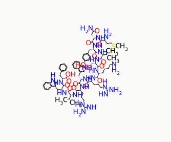 CSCC[C@H](N)C(=O)N[C@@H](CC(N)=O)C(=O)N[C@@H](Cc1ccc(O)cc1)C(=O)N[C@H](C(=O)N[C@@H](CO)C(=O)N[C@@H](CCCCN)C(=O)N[C@@H](CCCNC(=N)N)C(=O)N[C@@H](Cc1c[nH]c2ccccc12)C(=O)N[C@@H](CCCNC(=N)N)C(=O)N[C@H](C(=O)N[C@@H](Cc1c[nH]c2ccccc12)C(=O)N[C@@H](Cc1ccccc1)C(=O)O)C(C)C)C(C)C